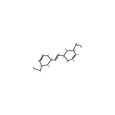 CCC1C=CCC(/C=C/C2CC=CC(CC)C2)C1